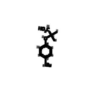 CC(C)(Oc1ccc(C(C)(C)C)cc1)C(=O)O